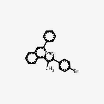 Cc1c(-c2ccc(Br)cc2)nn2c(-c3ccccc3)cc3ccccc3c12